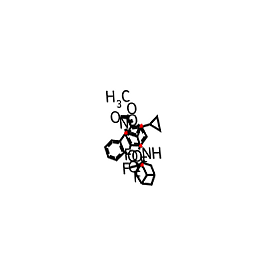 COC(=O)c1ccc(NC(=O)C2C3CC(OCc4c(-c5ccccc5OC(F)(F)F)noc4C4CC4)CC2C3)c(F)c1